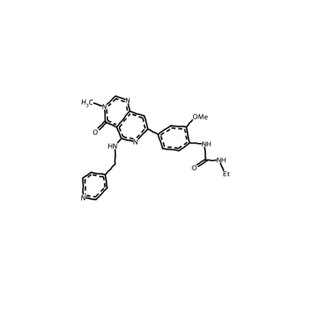 CCNC(=O)Nc1ccc(-c2cc3ncn(C)c(=O)c3c(NCc3ccncc3)n2)cc1OC